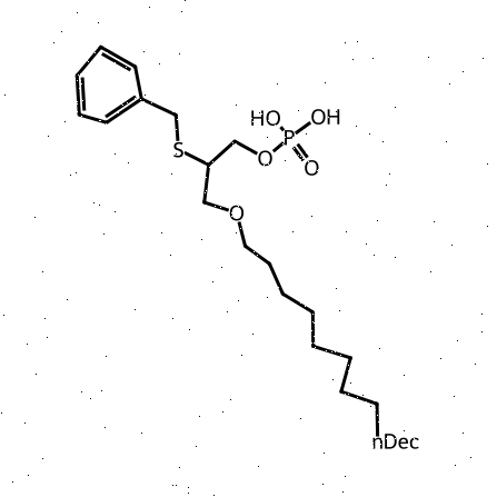 CCCCCCCCCCCCCCCCCCOCC(COP(=O)(O)O)SCc1ccccc1